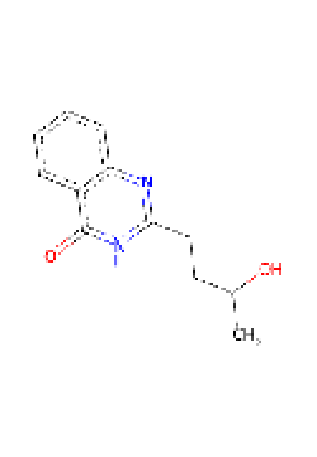 CC(O)CCc1nc2ccccc2c(=O)[nH]1